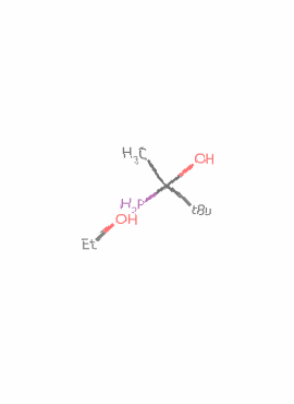 CC(C)(C)C(C)(O)P.CCO